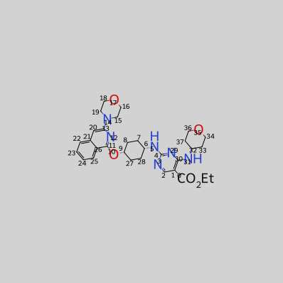 CCOC(=O)c1cnc(N[C@H]2CC[C@@H](Oc3nc(N4CCOCC4)cc4ccccc34)CC2)nc1NC1CCOCC1